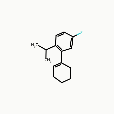 CC(C)c1ccc(F)cc1C1=CCCCC1